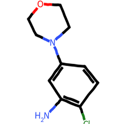 Nc1cc(N2CCOCC2)ccc1Cl